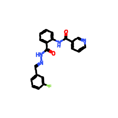 O=C(Nc1ccccc1C(=O)NN=Cc1cccc(F)c1)c1cccnc1